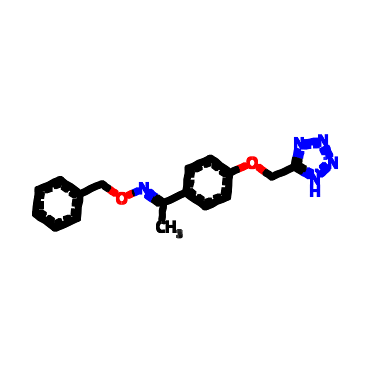 C/C(=N\OCc1ccccc1)c1ccc(OCc2nnn[nH]2)cc1